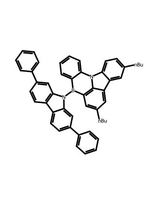 CCCCc1ccc2c(c1)c1cc(CCCC)cc3c1n2-c1ccccc1B3n1c2cc(-c3ccccc3)ccc2c2ccc(-c3ccccc3)cc21